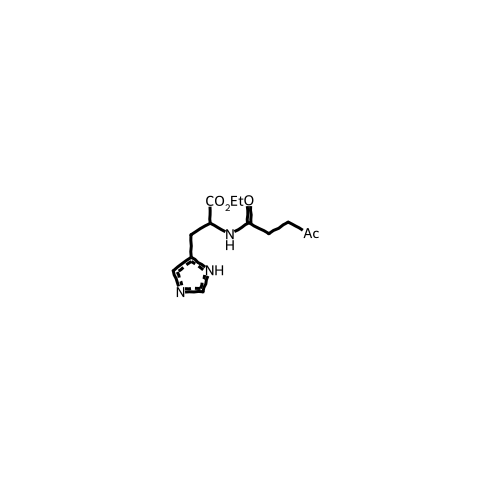 CCOC(=O)C(Cc1cnc[nH]1)NC(=O)CCC(C)=O